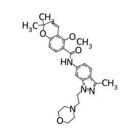 COc1c(C(=O)Nc2ccc3c(C)nn(CCN4CCOCC4)c3c2)ccc2c1C=CC(C)(C)O2